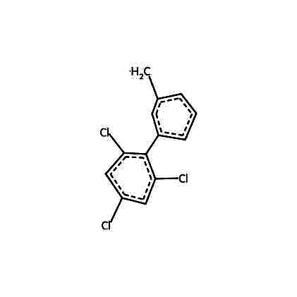 [CH2]c1cccc(-c2c(Cl)cc(Cl)cc2Cl)c1